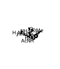 C=CCOc1ccc(C[C@H](NC(C)=O)C(=O)N/C(=C/CCCNC(=N)N)C(=O)N[C@@H](CC=C)CC(=O)OC)cc1